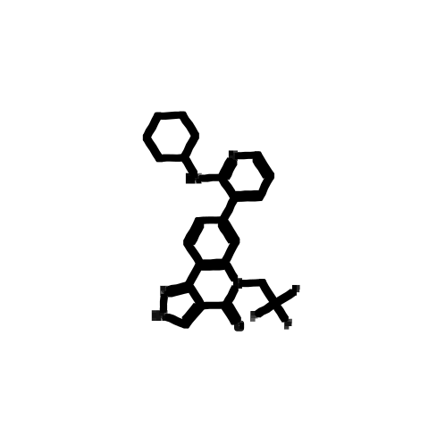 O=c1c2c[nH]nc2c2ccc(-c3cccnc3NC3CCCCC3)cc2n1CC(F)(F)F